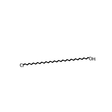 OCCCCCCCCCCCCCCCCCCCCCCCCCCCCCCCCl